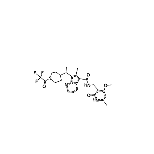 COc1cc(C)[nH]c(=O)c1CNC(=O)c1c(C)c(C(C)C2CCN(C(=O)C(F)(F)F)CC2)n2ncccc12